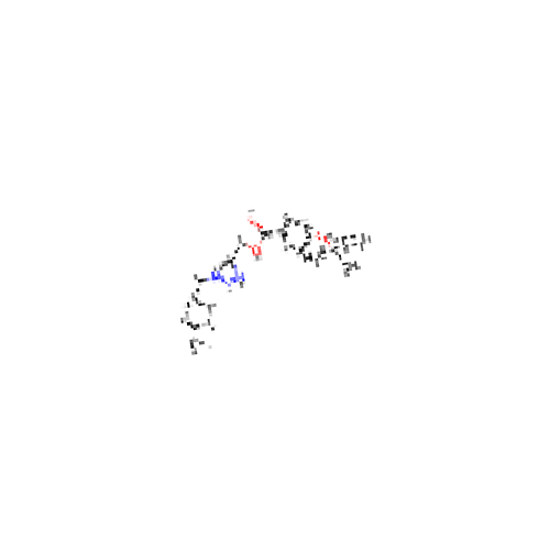 Cc1ccc(Cn2cc(COC(=O)c3ccc(OC(C)(C)C(=O)O)cc3)nn2)cc1